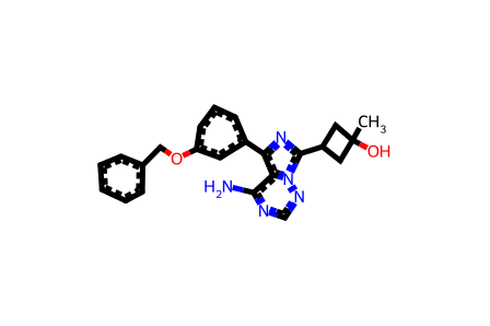 CC1(O)CC(c2nc(-c3cccc(OCc4ccccc4)c3)c3c(N)ncnn23)C1